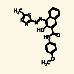 COc1ccc(NC(=O)c2cc3ccccc3c(/N=N/c3nnc(C)s3)c2O)cc1